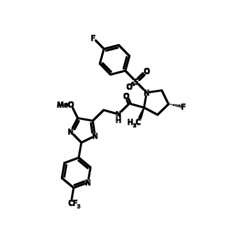 COC1=NC(c2ccc(C(F)(F)F)nc2)N=C1CNC(=O)[C@@]1(C)C[C@@H](F)CN1S(=O)(=O)c1ccc(F)cc1